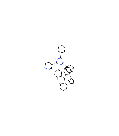 c1ccc(-c2nc(-c3ccccc3)nc(-c3cccnc3-c3ccc4c(c3)Sc3ccccc3C43c4ccccc4-c4ccccc43)n2)cc1